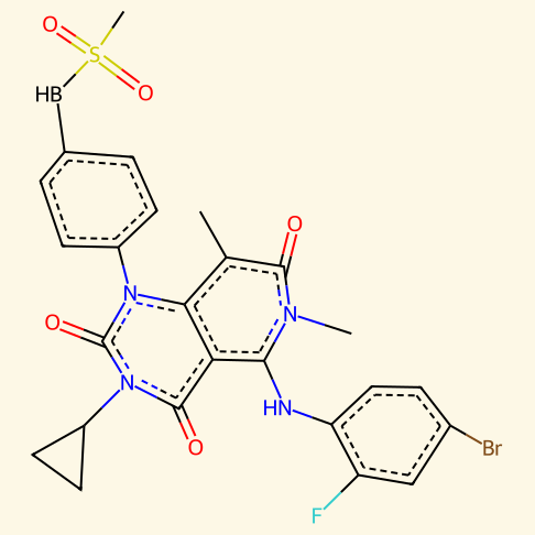 Cc1c(=O)n(C)c(Nc2ccc(Br)cc2F)c2c(=O)n(C3CC3)c(=O)n(-c3ccc(BS(C)(=O)=O)cc3)c12